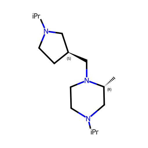 CC(C)N1CC[C@H](CN2CCN(C(C)C)C[C@H]2C)C1